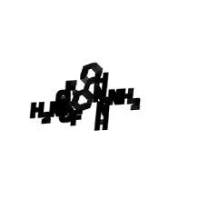 N=C(N)Nc1cc(F)c(S(N)(=O)=O)c(F)c1-c1ccccc1